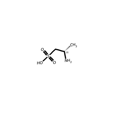 C[C@H](N)CS(=O)(=O)O